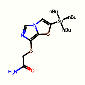 CCC[CH2][Sn]([CH2]CCC)([CH2]CCC)[c]1cn2cnc(SCC(N)=O)c2s1